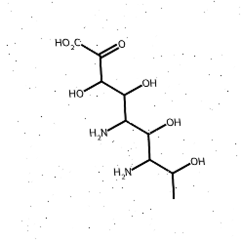 CC(O)C(N)C(O)C(N)C(O)C(O)C(=O)C(=O)O